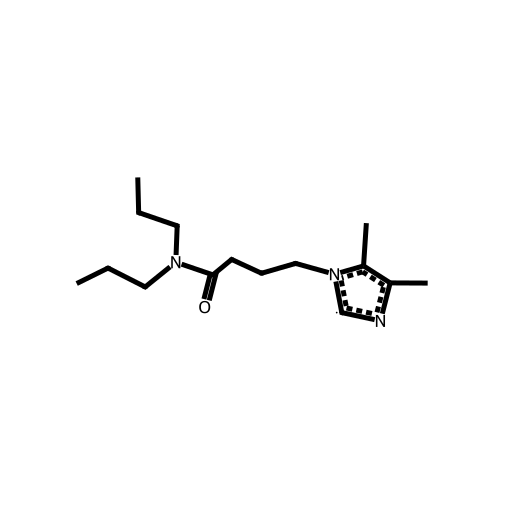 CCCN(CCC)C(=O)CCCn1[c]nc(C)c1C